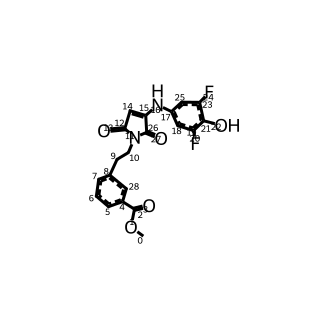 COC(=O)c1cccc(CCN2C(=O)C=C(Nc3cc(F)c(O)c(F)c3)C2=O)c1